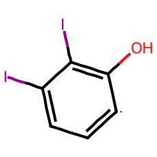 Oc1[c]ccc(I)c1I